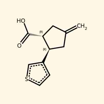 C=C1C[C@@H](C(=O)O)[C@H](c2ccsc2)C1